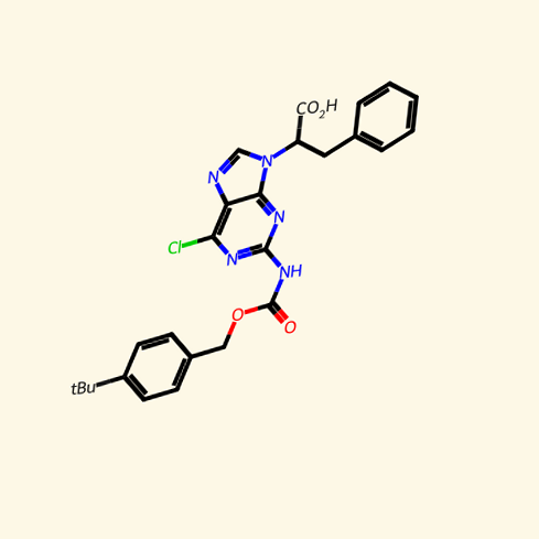 CC(C)(C)c1ccc(COC(=O)Nc2nc(Cl)c3ncn(C(Cc4ccccc4)C(=O)O)c3n2)cc1